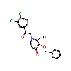 Cc1c(OCc2ccccc2)c(=O)ccn1CC(=O)c1ccc(Cl)c(Cl)c1